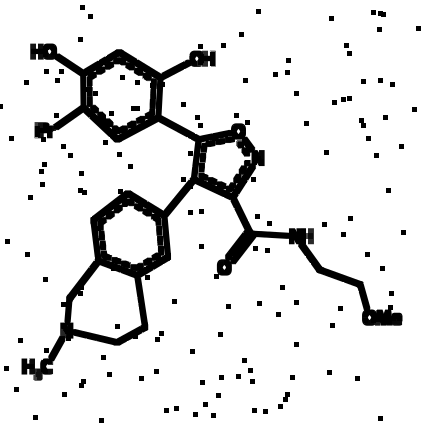 COCCNC(=O)c1noc(-c2cc(C(C)C)c(O)cc2O)c1-c1ccc2c(c1)CCN(C)C2